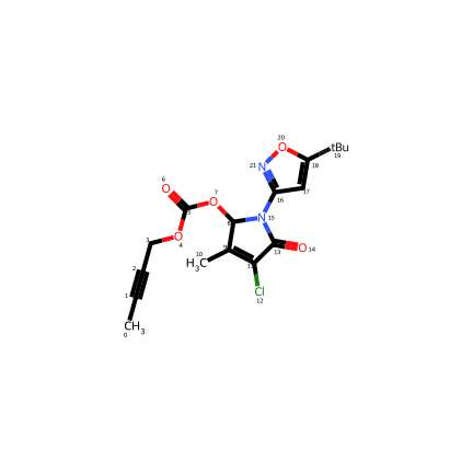 CC#CCOC(=O)OC1C(C)=C(Cl)C(=O)N1c1cc(C(C)(C)C)on1